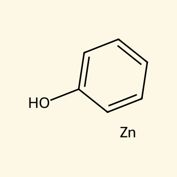 Oc1ccccc1.[Zn]